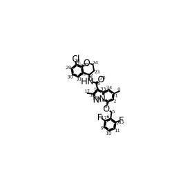 Cc1cc(OCc2c(F)cccc2F)n2nc(C)c(C(=O)NC3CCOc4c(Cl)cccc43)c2c1